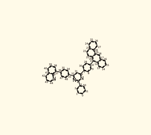 c1ccc(-c2nc(-c3ccc(-c4c5ccccc5cc5c4ccc4ccccc45)cc3)cc(-c3ccc(-c4cccc5cccnc45)cc3)n2)cc1